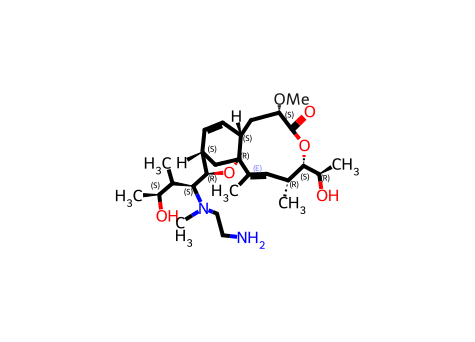 CO[C@H]1C[C@H]2C=C[C@@H]3C[C@]2(O[C@H]3[C@H](C(C)[C@H](C)O)N(C)CCN)/C(C)=C/[C@@H](C)[C@@H]([C@@H](C)O)OC1=O